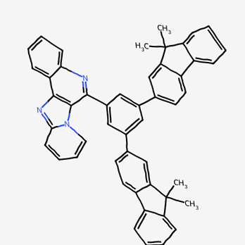 CC1(C)c2ccccc2-c2ccc(-c3cc(-c4ccc5c(c4)C(C)(C)c4ccccc4-5)cc(-c4nc5ccccc5c5nc6ccccn6c45)c3)cc21